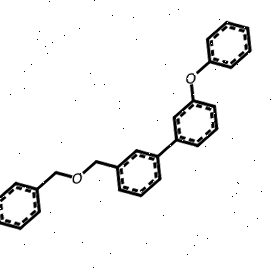 c1ccc(COCc2cccc(-c3cccc(Oc4ccccc4)c3)c2)cc1